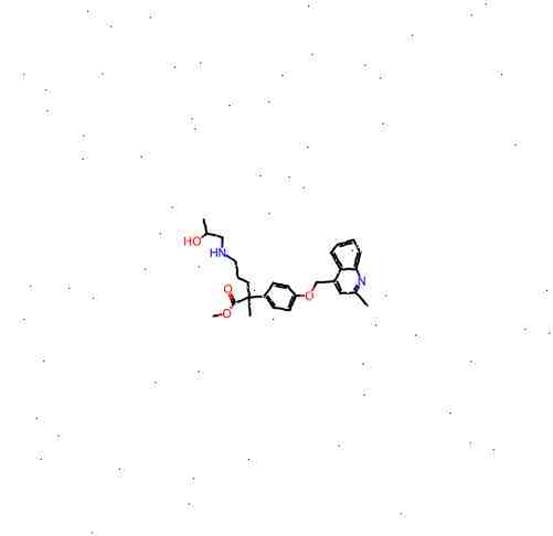 COC(=O)C(C)(CCCNCC(C)O)c1ccc(OCc2cc(C)nc3ccccc23)cc1